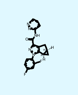 O=C(Nc1cccnn1)c1nn(-c2ccc(F)cc2F)c2c1C[C@H]1C[C@@H]21